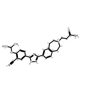 CC(C)Oc1ccc(-c2nc(-c3ccc4c(c3)CCN(CCC(N)=O)CC4)no2)cc1C#N